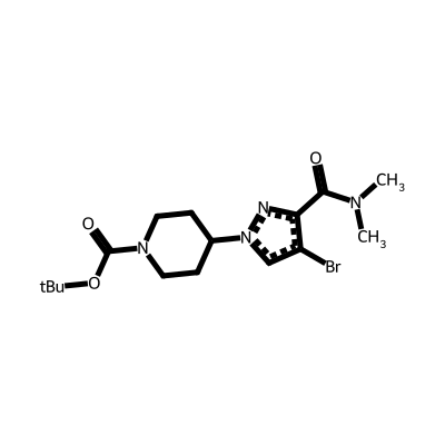 CN(C)C(=O)c1nn(C2CCN(C(=O)OC(C)(C)C)CC2)cc1Br